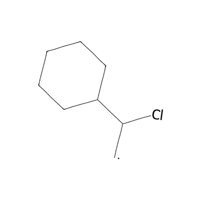 [CH2]C(Cl)C1CCCCC1